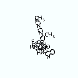 Cc1cc(Nc2nc(Nc3cnc4ccccc4c3[PH2]=O)c3cc[nH]c3n2)c(OCC(F)(F)F)cc1N1CCC(N2CCN(C)CC2)CC1